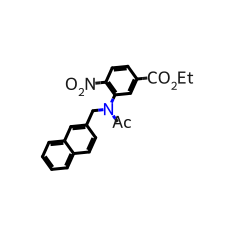 CCOC(=O)c1ccc([N+](=O)[O-])c(N(Cc2ccc3ccccc3c2)C(C)=O)c1